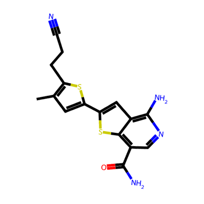 Cc1cc(-c2cc3c(N)ncc(C(N)=O)c3s2)sc1CCC#N